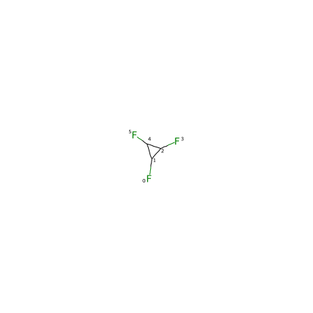 FC1C(F)C1F